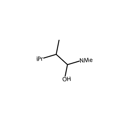 CNC(O)C(C)C(C)C